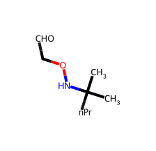 CCCC(C)(C)NOCC=O